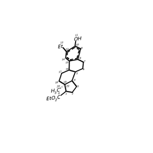 CCOC(=O)C1CCC2C3CCc4cc(O)c(CC)cc4C3CC[C@]12C